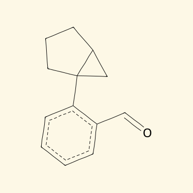 O=Cc1ccccc1C12CCCC1C2